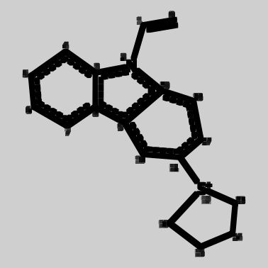 C=Cn1c2ccccc2c2cc([S+]3CCCC3)ccc21